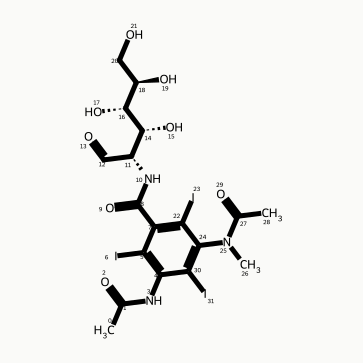 CC(=O)Nc1c(I)c(C(=O)N[C@H](C=O)[C@@H](O)[C@H](O)[C@H](O)CO)c(I)c(N(C)C(C)=O)c1I